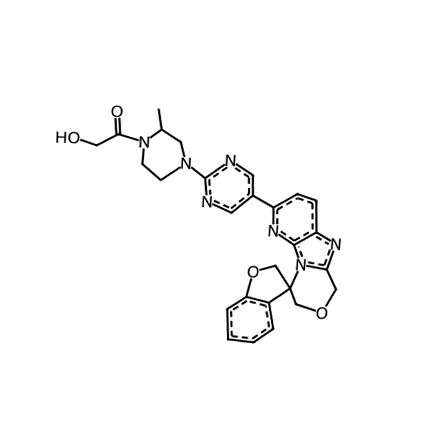 CC1CN(c2ncc(-c3ccc4nc5n(c4n3)C3(COC5)COc4ccccc43)cn2)CCN1C(=O)CO